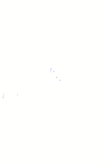 CCCCCc1cccc(N=Nc2ccc(O)cc2)c1